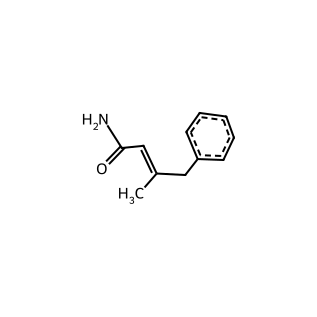 CC(=CC(N)=O)Cc1ccccc1